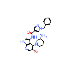 N[C@@H]1CCCN(c2c(Br)cnc3[nH]cc(NC(=O)c4cnn(Cc5ccccc5)c4)c23)C1